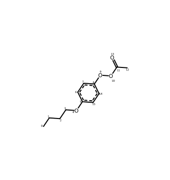 CCCCOc1ccc(OOC(C)=O)cc1